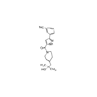 CC(C)(O)CC1CCN(C(=O)c2cc(-c3cccc(C#N)c3)n[nH]2)CC1